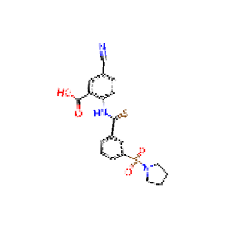 N#Cc1ccc(NC(=S)c2cccc(S(=O)(=O)N3CCCC3)c2)c(C(=O)O)c1